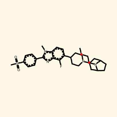 COCCN1C2CCC1CC(N1CCC(c3ccc4c(nc(-c5ccc(S(C)(=O)=O)cc5)n4C)c3F)CC1)C2